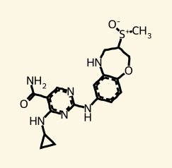 C[S+]([O-])C1CNc2cc(Nc3ncc(C(N)=O)c(NC4CC4)n3)ccc2OC1